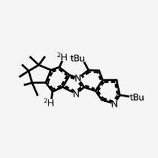 [2H]c1c2c(c([2H])c3c1nc1c4cnc(C(C)(C)C)cc4cc(C(C)(C)C)n13)C(C)(C)C(C)(C)C2(C)C